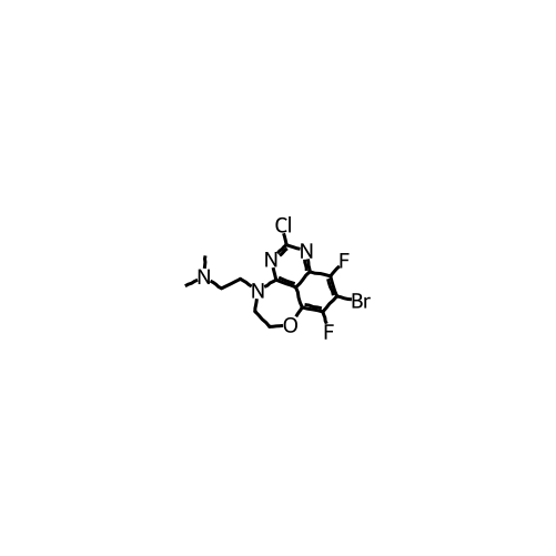 CN(C)CCN1CCOc2c(F)c(Br)c(F)c3nc(Cl)nc1c23